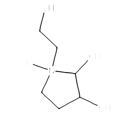 CCC[N+]1(C)CCC(C)C1C